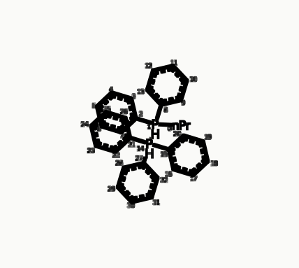 CCC[PH](c1ccccc1)(c1ccccc1)[PH](c1ccccc1)(c1ccccc1)c1ccccc1